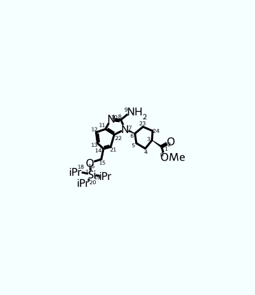 COC(=O)[C@H]1CC[C@@H](n2c(N)nc3ccc(CO[Si](C(C)C)(C(C)C)C(C)C)cc32)CC1